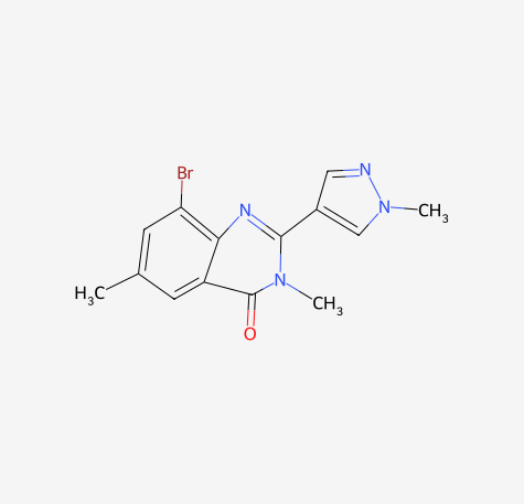 Cc1cc(Br)c2nc(-c3cnn(C)c3)n(C)c(=O)c2c1